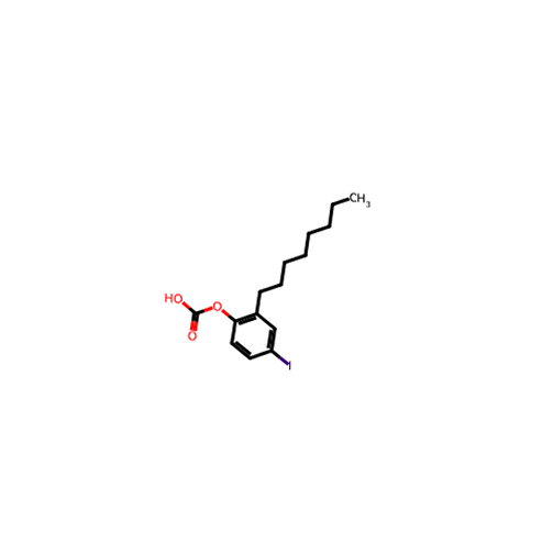 CCCCCCCCc1cc(I)ccc1OC(=O)O